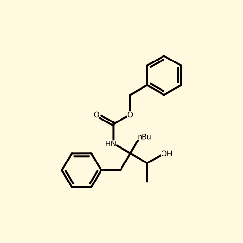 CCCCC(Cc1ccccc1)(NC(=O)OCc1ccccc1)[C](C)O